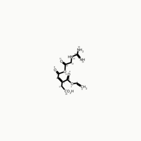 C=COC(=O)/C(=C\C(=O)OC(=O)CNC(=N)N)CC(=O)O